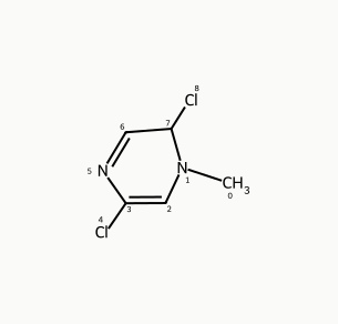 CN1C=C(Cl)N=CC1Cl